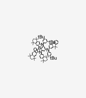 CC(C)(C)c1ccc(N(c2cc3c4c(c2)N(c2ccc5c(c2)C(C)(C)CCC5(C)C)c2c(oc5cc6c(cc25)C(C)(C)CCC6(C)C)B4c2cc4c(cc2N3c2cc(C(C)(C)C)cc(C(C)(C)C)c2)C(C)(C)CCC4(C)C)c2ccc3c(c2)C(C)(C)c2ccccc2-3)cc1